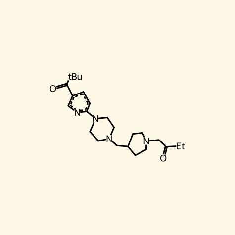 CCC(=O)CN1CCC(CN2CCN(c3ccc(C(=O)C(C)(C)C)cn3)CC2)CC1